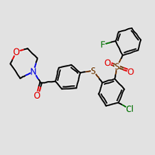 O=C(c1ccc(Sc2ccc(Cl)cc2S(=O)(=O)c2ccccc2F)cc1)N1CCOCC1